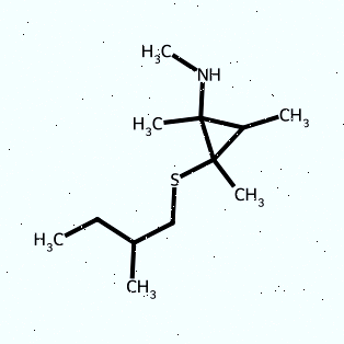 CCC(C)CSC1(C)C(C)C1(C)NC